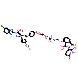 O=C(COCCOc1ccc(CCc2c(-c3ccc(C(F)(F)F)cc3)nn(-c3nc4cc(Cl)ccc4[nH]3)c2O)cc1)NCCNc1cccc2c1C(=O)N(C1CCC(=O)NC1=O)C2=O